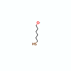 [O]CCCCCCS